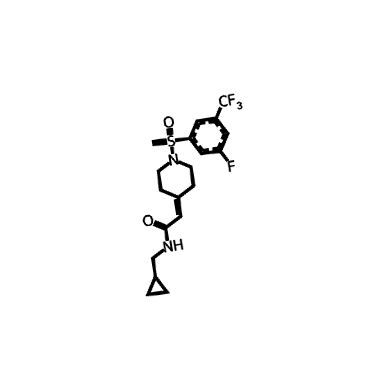 C=S(=O)(c1cc(F)cc(C(F)(F)F)c1)N1CCC(=CC(=O)NCC2CC2)CC1